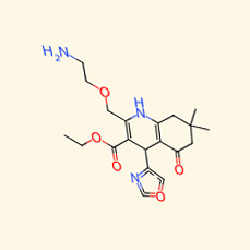 CCOC(=O)C1=C(COCCN)NC2=C(C(=O)CC(C)(C)C2)C1c1cocn1